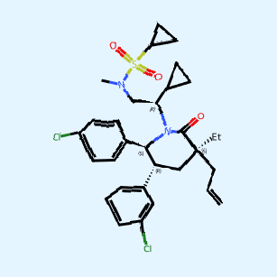 C=CC[C@@]1(CC)C[C@H](c2cccc(Cl)c2)[C@@H](c2ccc(Cl)cc2)N([C@@H](CN(C)S(=O)(=O)C2CC2)C2CC2)C1=O